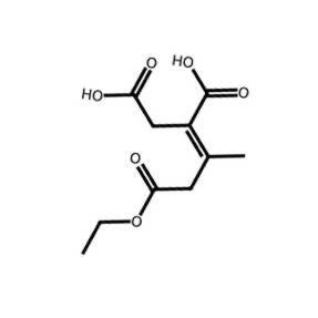 CCOC(=O)CC(C)=C(CC(=O)O)C(=O)O